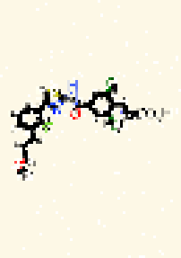 C/C(=C\c1c(Cl)cc(C(=O)Nc2nc(-c3cccc(CCCOC(C)C)c3F)cs2)cc1Cl)C(=O)O